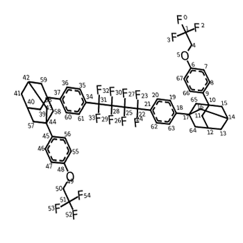 FC(F)(F)COc1ccc(C23CC4CC(C2)CC(c2ccc(C(F)(F)C(F)(F)C(F)(F)C(F)(F)c5ccc(C67CC8CC(CC(c9ccc(OCC(F)(F)F)cc9)(C8)C6)C7)cc5)cc2)(C4)C3)cc1